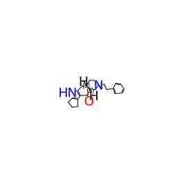 O=C1c2c([nH]c3c2CCC3)C[C@@H]2CCN(CCc3ccccc3)C[C@@H]12